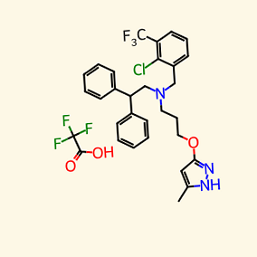 Cc1cc(OCCCN(Cc2cccc(C(F)(F)F)c2Cl)CC(c2ccccc2)c2ccccc2)n[nH]1.O=C(O)C(F)(F)F